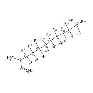 C=CC(C)C(F)(F)C(F)(F)C(F)(F)C(F)(F)C(F)(F)C(F)(F)C(F)(F)C(F)(F)C(F)(F)F